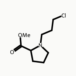 COC(=O)C1CCCN1CCCCl